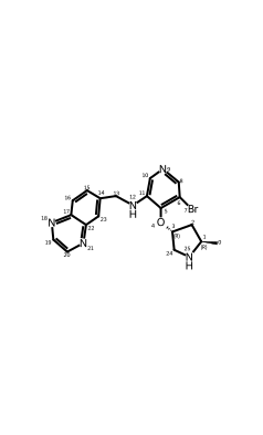 C[C@@H]1C[C@@H](Oc2c(Br)cncc2NCc2ccc3nccnc3c2)CN1